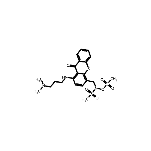 CN(C)CCCNc1ccc(CN(OS(C)(=O)=O)S(C)(=O)=O)c2sc3ccccc3c(=O)c12